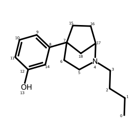 CCCCN1CCC2(c3cccc(O)c3)CCC1C2